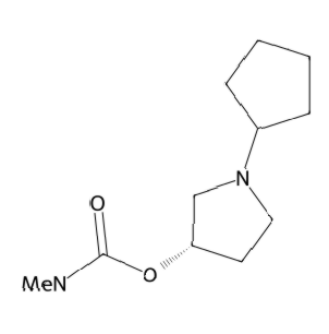 CNC(=O)O[C@H]1CCN(C2CCCC2)C1